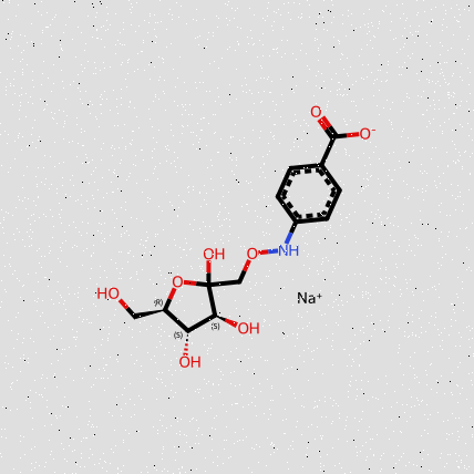 O=C([O-])c1ccc(NOCC2(O)O[C@H](CO)[C@@H](O)[C@@H]2O)cc1.[Na+]